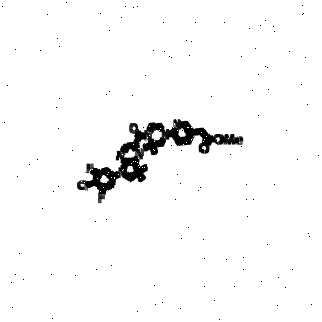 COC(=O)Cc1ccc(N2CCN(C(=O)c3cnc4c(n3)C(C)(C)CN4c3cc(F)c(Cl)c(F)c3)C(C)(C)C2)nc1